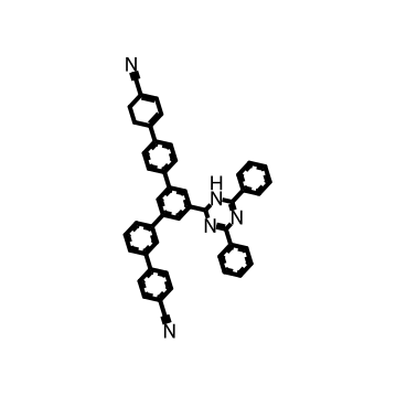 N#CC1=CC=C(c2ccc(-c3cc(-c4cccc(-c5ccc(C#N)cc5)c4)cc(C4N=C(c5ccccc5)N=C(c5ccccc5)N4)c3)cc2)CC1